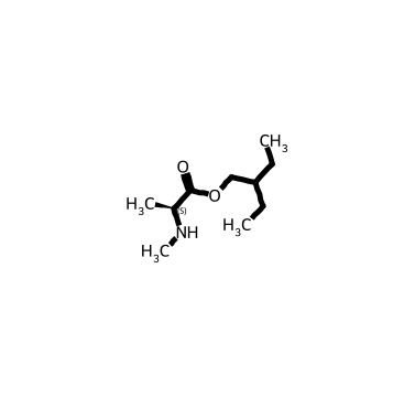 CCC(CC)COC(=O)[C@H](C)NC